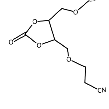 CCOCC1OC(=O)OC1COCCC#N